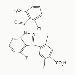 Cc1cc(C(=O)O)c(F)cc1-c1nn(C(=O)c2c(Cl)cccc2C(F)(F)F)c2cccc(F)c12